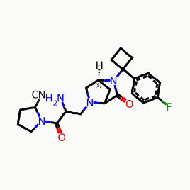 N#CC1CCCN1C(=O)C(N)CN1C[C@@H]2CC1C(=O)N2C1(c2ccc(F)cc2)CCC1